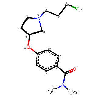 CON(C)C(=O)c1ccc(OC2CCN(CCCF)C2)cc1